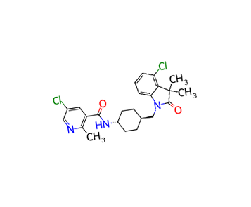 Cc1ncc(Cl)cc1C(=O)N[C@H]1CC[C@H](CN2C(=O)C(C)(C)c3c(Cl)cccc32)CC1